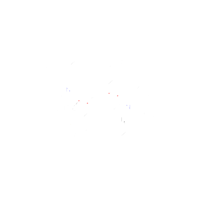 Cc1cc(-c2ccc(N(c3ccccc3-c3cccc4c3sc3ccccc34)c3cc4ccccc4c4ccccc34)c(C)c2)ccc1N(c1ccccc1-c1cccc2c1sc1ccccc12)c1cc2ccccc2c2ccccc12